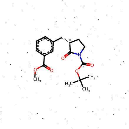 COC(=O)c1cccc(C[C@@H]2CCN(C(=O)OC(C)(C)C)C2=O)c1